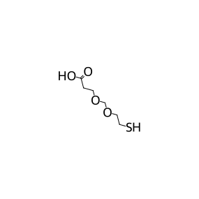 O=C(O)CCOCOCCS